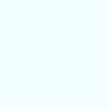 CC1(C)c2ccccc2-c2ccc(N(c3ccc4c(c3)-c3c(-c5ccccc5)cc5ccccc5c3C4(C)C)c3ccc4c(c3)C(C)(C)c3ccccc3-4)cc21